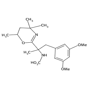 COc1cc(CC(C)(NC(=O)O)C2=NC(C)(C)CC(C)O2)cc(OC)c1